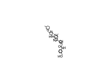 Cc1cn2c(-c3cnn(CC(=O)Nc4cccc(CO)c4)c3)cnc2c(NC2CC(CN3CCCC(C)C3)=NS2)n1